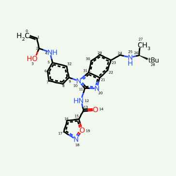 C=CC(O)Nc1cccc(-n2c(NC(=O)c3ccno3)nc3cc(CN[C@@H](C)C(C)(C)C)ccc32)c1